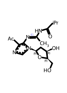 CC(=O)c1ncn([C@H]2C[C@@H](O)[C@@H](CO)O2)c1/N=C(\C)NC(=O)C(C)C